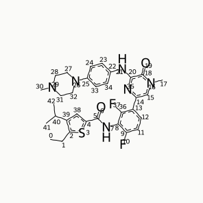 CCc1sc(C(=O)Nc2c(F)ccc(-c3cn(C)c(=O)c(Nc4ccc(N5CCN(C)CC5)cc4)n3)c2F)cc1C(C)C